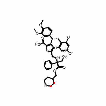 COc1ccc([C@H](Cc2c(Cl)c[n+]([O-])cc2Cl)c2cc(CNC(CO)(C(=O)OCC34CCN(CC3)CC4)c3ccccc3)sc2C(=O)O)cc1OC